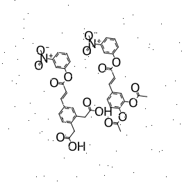 CC(=O)Oc1ccc(/C=C/C(=O)Oc2cccc([N+](=O)[O-])c2)cc1OC(C)=O.O=C(O)Cc1ccc(/C=C/C(=O)Oc2cccc([N+](=O)[O-])c2)cc1CC(=O)O